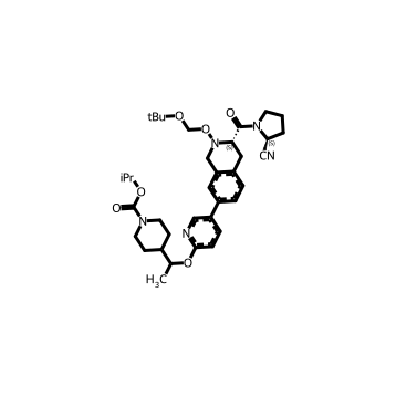 CC(C)OC(=O)N1CCC(C(C)Oc2ccc(-c3ccc4c(c3)CN(OCOC(C)(C)C)[C@H](C(=O)N3CCC[C@H]3C#N)C4)cn2)CC1